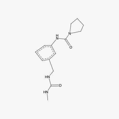 CNC(=O)NCc1cccc(NC(=O)N2CCCC2)c1